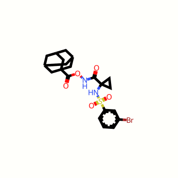 O=C(ONC(=O)C1(NS(=O)(=O)c2cccc(Br)c2)CC1)C12CC3CC(CC(C3)C1)C2